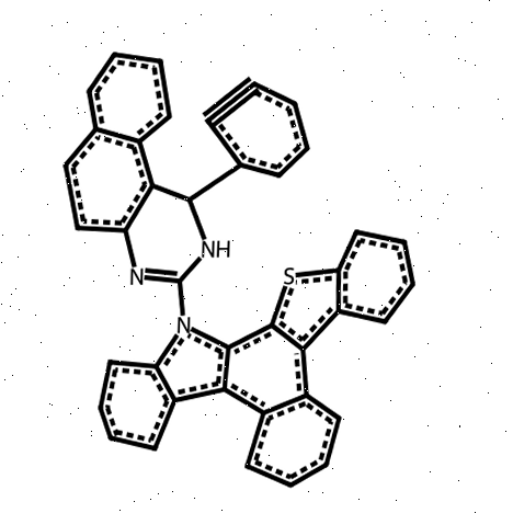 c1cccc(C2NC(n3c4ccccc4c4c5ccccc5c5c6ccccc6sc5c43)=Nc3ccc4ccccc4c32)c#1